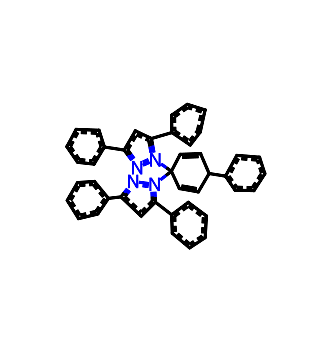 C1=CC(n2nc(-c3ccccc3)cc2-c2ccccc2)(n2nc(-c3ccccc3)cc2-c2ccccc2)C=CC1c1ccccc1